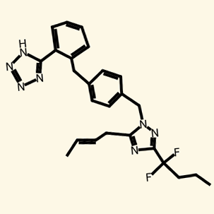 CC=CCc1nc(C(F)(F)CCC)nn1Cc1ccc(Cc2ccccc2-c2nnn[nH]2)cc1